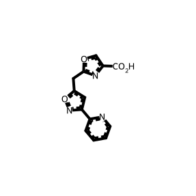 O=C(O)c1coc(Cc2cc(-c3ccccn3)no2)n1